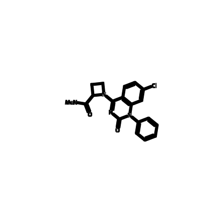 CNC(=O)C1CCN1c1nc(=O)n(-c2ccccc2)c2cc(Cl)ccc12